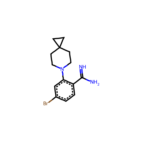 N=C(N)c1ccc(Br)cc1N1CCC2(CC1)CC2